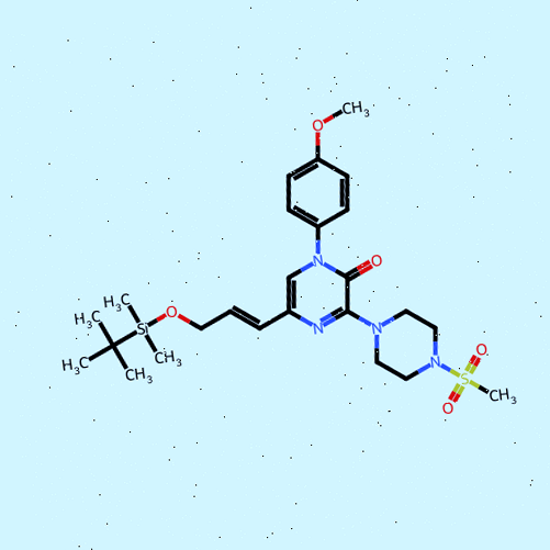 COc1ccc(-n2cc(C=CCO[Si](C)(C)C(C)(C)C)nc(N3CCN(S(C)(=O)=O)CC3)c2=O)cc1